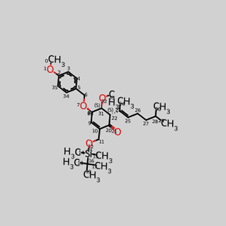 COc1ccc(CO[C@@H]2C=C(CO[Si](C)(C)C(C)(C)C)C(=O)[C@@H](C(C)=CCCC(C)C)[C@@H]2OC)cc1